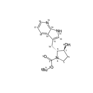 CC(C)(C)OC(=O)N1CC[C@H](O)[C@H]1Cc1c[nH]c2ncccc12